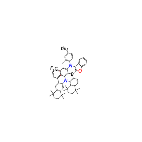 Cc1cc(C(C)(C)C)ccc1N1c2cc(C(F)(F)F)cc3c2B(c2ccc4c(c2N3c2cc3c(cc2-c2ccccc2)C(C)(C)CCC3(C)C)C(C)(C)CCC4(C)C)c2oc3ccccc3c21